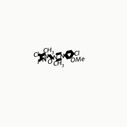 COc1cc(N2CCN(C(=O)Cn3nc(I)c(Cl)c3C)[C@@H](C)C2)ccc1Cl